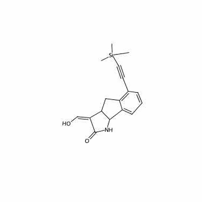 C[Si](C)(C)C#Cc1cccc2c1CC1/C(=C/O)C(=O)NC21